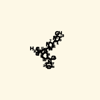 Cc1cccc(-c2cnc(-n3cc([S+](C)[O-])c4ccc(C(=O)N5CCOCC5)cc43)nc2)n1